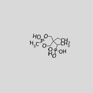 CCC1(C(C)P(=O)(O)O)CO[P](C)(O)OC1